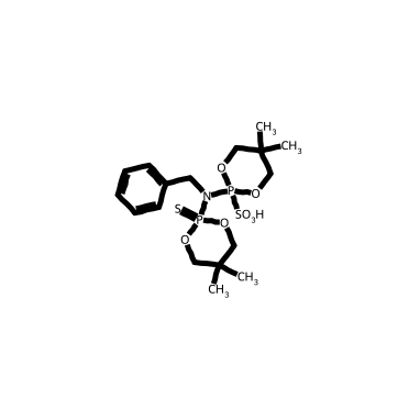 CC1(C)CO[P](N(Cc2ccccc2)P2(=S)OCC(C)(C)CO2)(S(=O)(=O)O)OC1